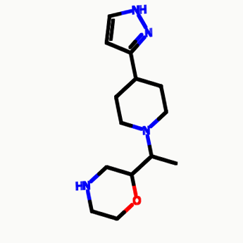 CC(C1CNCCO1)N1CCC(c2cc[nH]n2)CC1